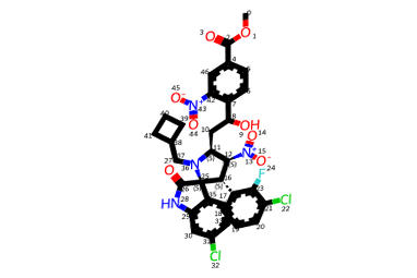 COC(=O)c1ccc(C(O)C[C@H]2[C@@H]([N+](=O)[O-])[C@H](c3cccc(Cl)c3F)[C@]3(C(=O)Nc4cc(Cl)ccc43)N2CC2CCC2)c([N+](=O)[O-])c1